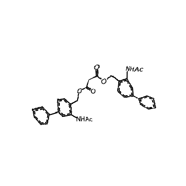 CC(=O)Nc1cc(-c2ccccc2)ccc1COC(=O)CC(=O)OCc1ccc(-c2ccccc2)cc1NC(C)=O